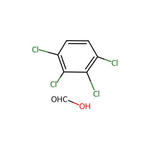 Clc1ccc(Cl)c(Cl)c1Cl.O=CO